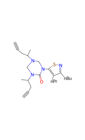 C#CCC(C)N1CN(c2snc(CCCC)c2CCC)C(=O)N(C(C)CC#C)C1